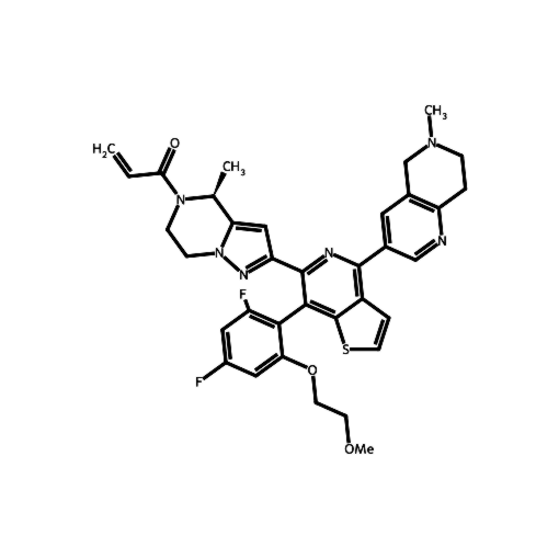 C=CC(=O)N1CCn2nc(-c3nc(-c4cnc5c(c4)CN(C)CC5)c4ccsc4c3-c3c(F)cc(F)cc3OCCOC)cc2[C@@H]1C